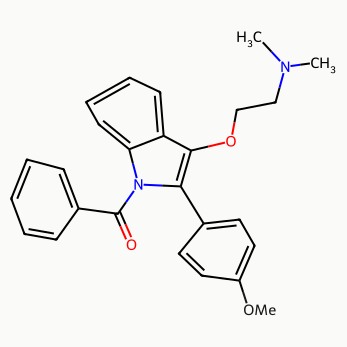 COc1ccc(-c2c(OCCN(C)C)c3ccccc3n2C(=O)c2ccccc2)cc1